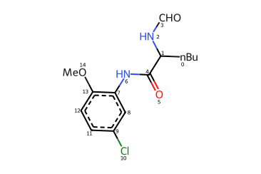 CCCCC(NC=O)C(=O)Nc1cc(Cl)ccc1OC